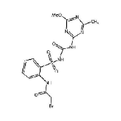 COc1nc(C)nc(NC(=O)NS(=O)(=O)c2ccccc2NC(=O)CBr)n1